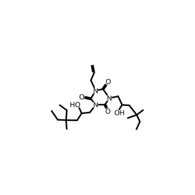 C=CCn1c(=O)n(CC(O)CC(C)(C)CC)c(=O)n(CC(O)CC(C)(CC)CC)c1=O